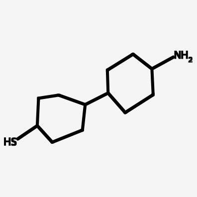 NC1CCC(C2CCC(S)CC2)CC1